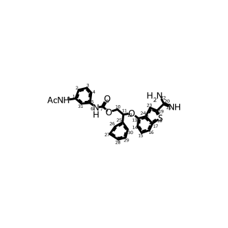 CC(=O)Nc1cccc(NC(=O)OCC(Oc2cccc3sc(C(=N)N)cc23)c2ccccc2)c1